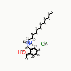 CCCCCCCCCCCC[N+](C)(C)Cc1ccccc1C(C)O.[Cl-]